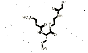 CCCSC[C@H](NC(=O)CCC(=O)O)C(=O)NCCNC(=O)CC(C)C